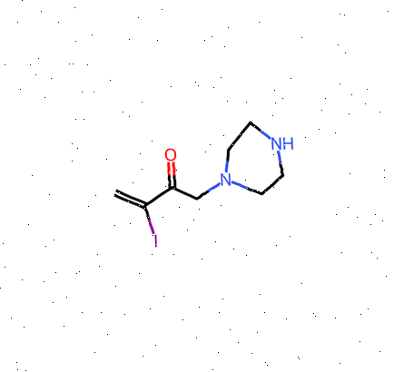 C=C(I)C(=O)CN1CCNCC1